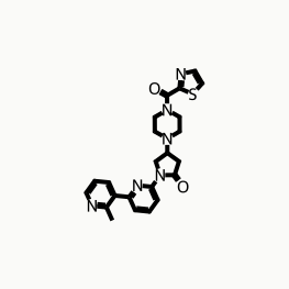 Cc1ncccc1-c1cccc(N2CC(N3CCN(C(=O)c4nccs4)CC3)CC2=O)n1